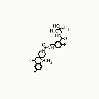 CN1c2ccc(F)cc2C(=O)CC12CCN(C(=O)NCc1ccc(F)c(C(=O)NCC(C)(C)O)c1)CC2